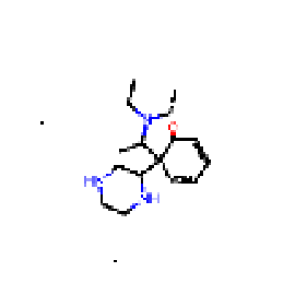 CCN(CC)C(C)C1(C2CNCCN2)C=CC=CC1=O